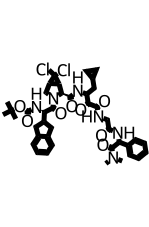 CN(C)C(=O)C(NC(=O)CNC(=O)C(=O)C(CC1CC1)NC(=O)[C@@H]1C2C(CN1C(=O)[C@@H](NC(=O)OC(C)(C)C)C1Cc3ccccc3C1)C2(Cl)Cl)c1ccccc1